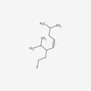 CC(C)C/C=C\C(CCF)C(C)C